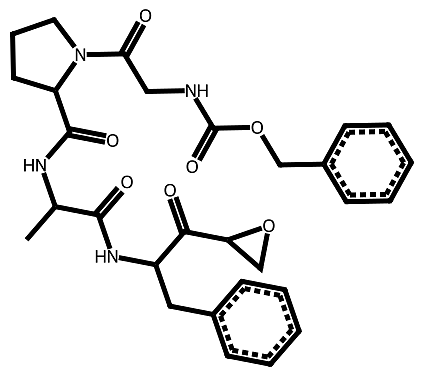 CC(NC(=O)C1CCCN1C(=O)CNC(=O)OCc1ccccc1)C(=O)NC(Cc1ccccc1)C(=O)C1CO1